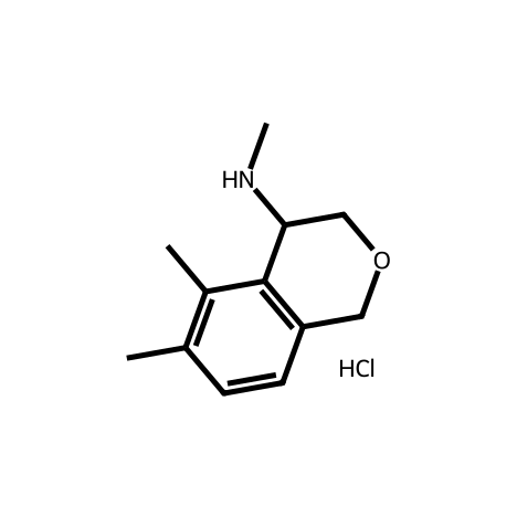 CNC1COCc2ccc(C)c(C)c21.Cl